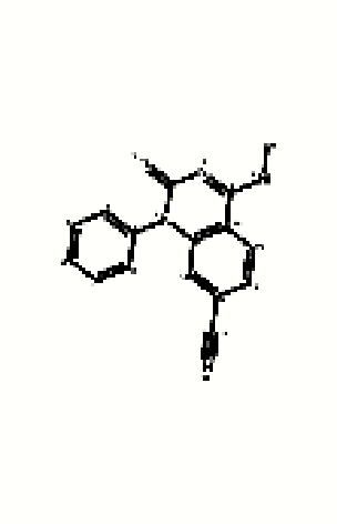 CNc1nc(=O)n(-c2ccccc2)c2cc(C#N)ccc12